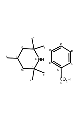 CC1CC(C)(C)NC(C)(C)C1.O=C(O)c1ccccc1